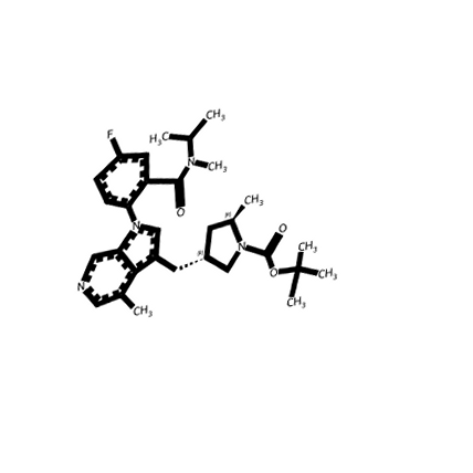 Cc1cncc2c1c(C[C@@H]1C[C@@H](C)N(C(=O)OC(C)(C)C)C1)cn2-c1ccc(F)cc1C(=O)N(C)C(C)C